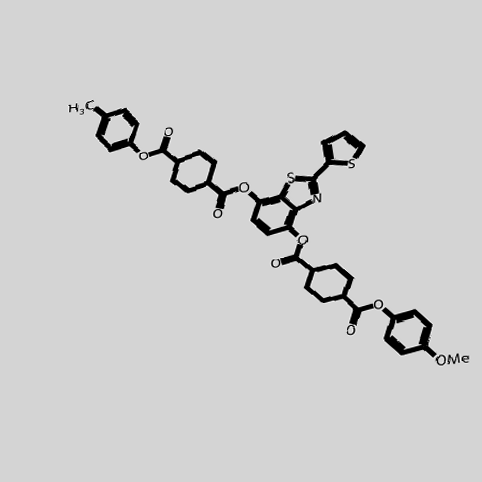 COc1ccc(OC(=O)C2CCC(C(=O)Oc3ccc(OC(=O)C4CCC(C(=O)Oc5ccc(C)cc5)CC4)c4sc(-c5cccs5)nc34)CC2)cc1